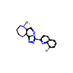 CN1CCCCc2c1cnn1c(-c3ccc4cccc(Br)c4n3)nnc21